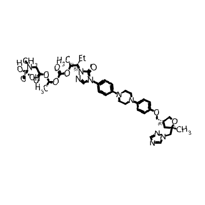 CC[C@@H]([C@H](C)OC(=O)OC(C)OC(=O)CN(C)P(=O)(O)O)n1ncn(-c2ccc(N3CCN(c4ccc(OC[C@@H]5CO[C@](C)(Cn6cncn6)C5)cc4)CC3)cc2)c1=O